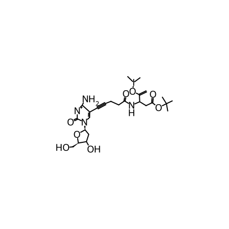 C=C(OI(C)C)C(CC(=O)OC(C)(C)C)NC(=O)CCC#Cc1cn([C@H]2CC(O)[C@@H](CO)O2)c(=O)nc1N